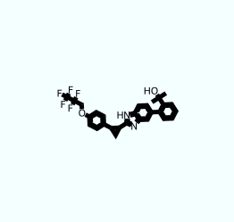 CC(C)(O)c1ccccc1-c1ccc2[nH]c(C3CC3c3ccc(OCC(F)(F)C(F)(F)F)cc3)nc2c1